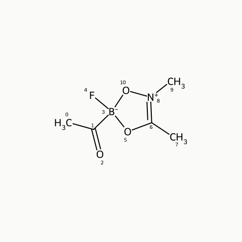 CC(=O)[B-]1(F)OC(C)=[N+](C)O1